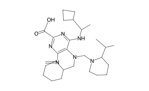 C=Nc1nc(C(=O)O)nc(NC(C)C2CCC2)c1N(CC1CCCCC1)CN1CCCCC1C(C)C